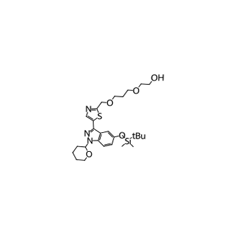 CC(C)(C)[Si](C)(C)Oc1ccc2c(c1)c(-c1cnc(COCCCOCCO)s1)nn2C1CCCCO1